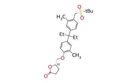 CCC(CC)(c1ccc(CS(=O)(=O)C(C)(C)C)c(C)c1)c1ccc(OC[C@@H]2CCC(=O)O2)c(C)c1